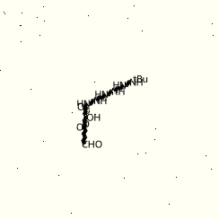 CC(C)(C)NCCNCCNCCNCCNCCNC(=O)OCC(O)COC(=O)CCCCC=O